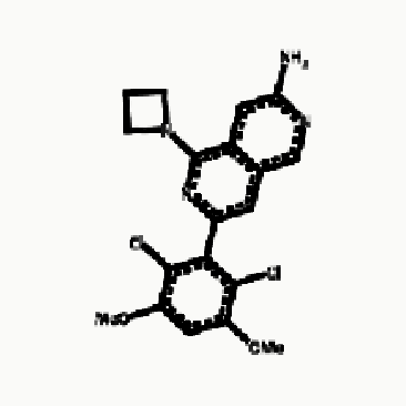 COc1cc(OC)c(Cl)c(-c2cc3cnc(N)cc3c(N3CCC3)n2)c1Cl